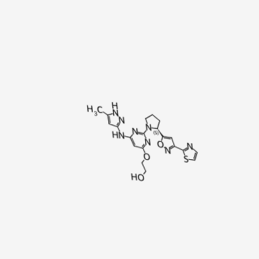 Cc1cc(Nc2cc(OCCO)nc(N3CCC[C@H]3c3cc(-c4nccs4)no3)n2)n[nH]1